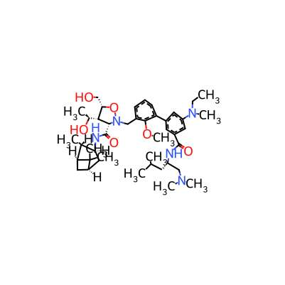 CCN(C)c1cc(C(=O)N[C@@H](CC(C)C)CN(C)C)cc(-c2cccc(CN3O[C@@H](CO)[C@@H]([C@H](C)O)[C@H]3C(=O)N[C@H]3C[C@H]4C[C@@H]([C@@H]3C)C4(C)C)c2OC)c1